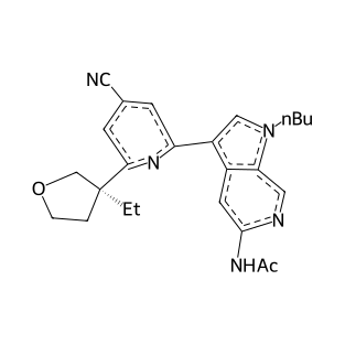 CCCCn1cc(-c2cc(C#N)cc([C@@]3(CC)CCOC3)n2)c2cc(NC(C)=O)ncc21